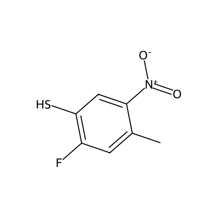 Cc1cc(F)c(S)cc1[N+](=O)[O-]